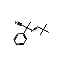 CC(C)(C)/N=N/C(C)(C#N)c1ccccc1